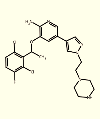 CC(Oc1cc(-c2cnn(CCN3CCNCC3)c2)cnc1N)c1c(Cl)ccc(F)c1Cl